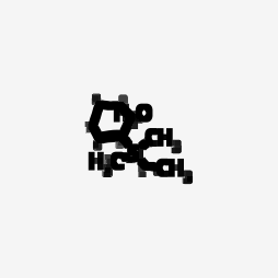 CC[Si](C)(C)C1=CCCCC1.O